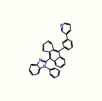 c1ccc(-n2c(-c3c4ccccc4c(-c4cccc(-c5cccnc5)c4)c4ccccc34)nc3ccccc32)cc1